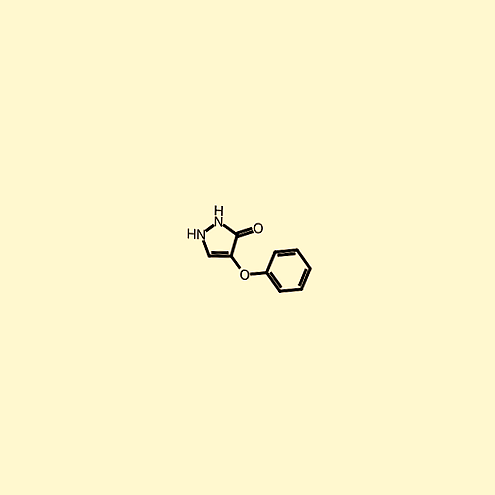 O=c1[nH][nH]cc1Oc1ccccc1